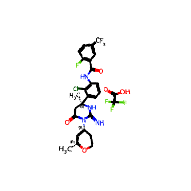 C[C@@H]1C[C@H](N2C(=N)N[C@](C)(c3cccc(NC(=O)c4cc(C(F)(F)F)ccc4F)c3Cl)CC2=O)CCO1.O=C(O)C(F)(F)F